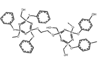 COP1(Oc2ccc(O)cc2)=NP(CO)(Oc2ccc(C)cc2)=NP(CO)(OCCOP2(Sc3ccccc3)=NP(CO)(Sc3ccccc3)=NP(OC)(Sc3ccccc3)=N2)=N1